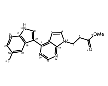 COC(=O)CCn1ccc2c(-c3c[nH]c4ncc(F)cc34)ncnc21